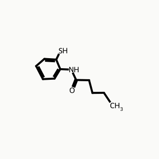 CCCCC(=O)Nc1ccccc1S